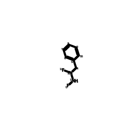 FNN(F)Cc1ccccc1